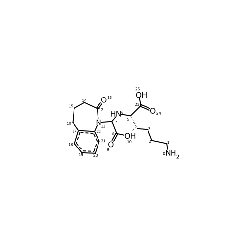 NCCCC[C@H](NC(C(=O)O)N1C(=O)CCCc2ccccc21)C(=O)O